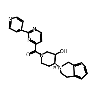 O=C(c1ccnc(-c2ccncc2)n1)N1CC[C@H](N2CCc3ccccc3C2)C(O)C1